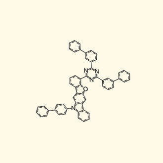 c1ccc(-c2ccc(-n3c4ccccc4c4cc5oc6c(-c7nc(-c8cccc(-c9ccccc9)c8)nc(-c8cccc(-c9ccccc9)c8)n7)cccc6c5cc43)cc2)cc1